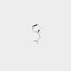 CC(C)Cc1ncc[nH]1